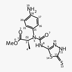 COC(=O)[C@H](C)N(C(=O)Nc1n[nH]c(=S)s1)c1ccc(N)cc1